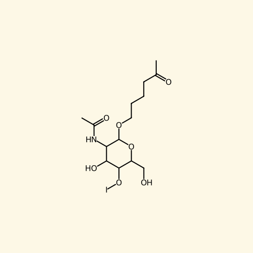 CC(=O)CCCCOC1OC(CO)C(OI)C(O)C1NC(C)=O